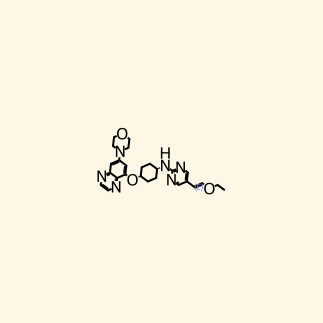 CCO/C=C/c1cnc(N[C@H]2CC[C@@H](Oc3cc(N4CCOCC4)cc4nccnc34)CC2)nc1